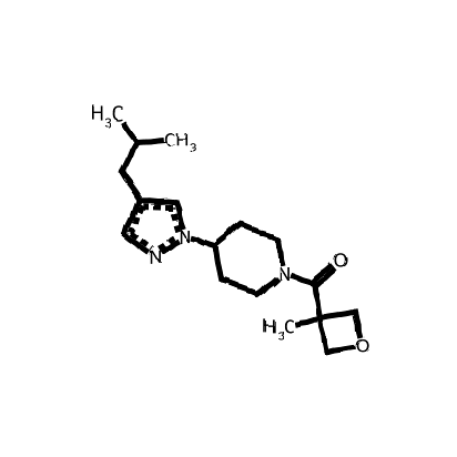 CC(C)Cc1cnn(C2CCN(C(=O)C3(C)COC3)CC2)c1